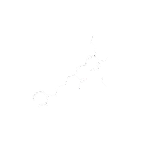 CCOc1cc(C(C)N(CCOCc2ccccc2)C(N)=O)cc(OCC)c1C